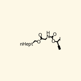 C#CC(I)OC(=O)NCC(=O)OCCCCCCCC